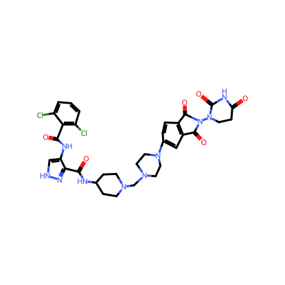 O=C1CCN(N2C(=O)c3ccc(N4CCN(CN5CCC(NC(=O)c6n[nH]cc6NC(=O)c6c(Cl)cccc6Cl)CC5)CC4)cc3C2=O)C(=O)N1